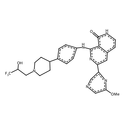 COc1cncc(-c2cc3cc[nH]c(=O)c3c(Nc3ccc(C4CCN(CC(O)C(F)(F)F)CC4)cc3)n2)n1